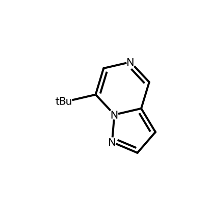 CC(C)(C)c1cncc2ccnn12